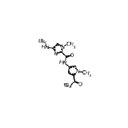 Cn1cc(NC(=O)c2nc(NC(C)(C)C)cn2C)cc1C(=O)C(C)(C)C